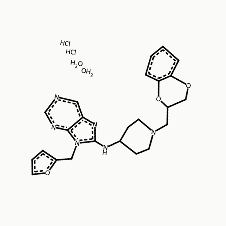 Cl.Cl.O.O.c1coc(Cn2c(NC3CCN(CC4COc5ccccc5O4)CC3)nc3cncnc32)c1